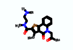 CCN(CC)CCN(C)C(=O)c1sc2c(c1OC)c(=O)n(CC(=O)C(C)(C)C)c1ccccc21